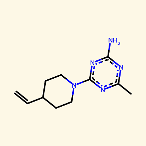 C=CC1CCN(c2nc(C)nc(N)n2)CC1